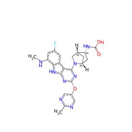 CNc1cc(F)cc2c1[nH]c1nc(Oc3cnc(C)nc3)nc(N3C[C@H]4C[C@@H]3C[C@H]4NC(=O)O)c12